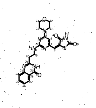 O=C1NC(=O)/C(=C\c2cc(N3CCOCC3)nc(NCCc3nc4ccccc4c(=O)[nH]3)n2)S1